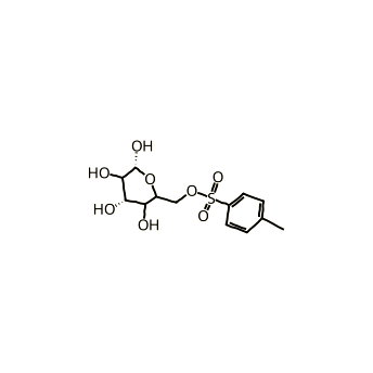 Cc1ccc(S(=O)(=O)OCC2O[C@@H](O)C(O)[C@@H](O)C2O)cc1